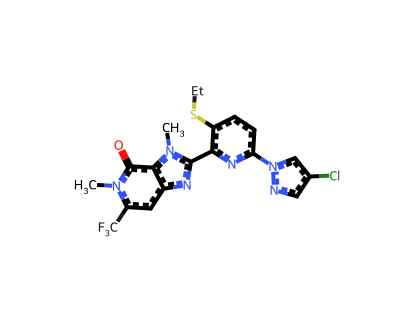 CCSc1ccc(-n2cc(Cl)cn2)nc1-c1nc2cc(C(F)(F)F)n(C)c(=O)c2n1C